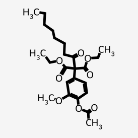 CCCCCCCC(=O)C(C(=O)OCC)(C(=O)OCC)c1ccc(OC(C)=O)c(OC)c1